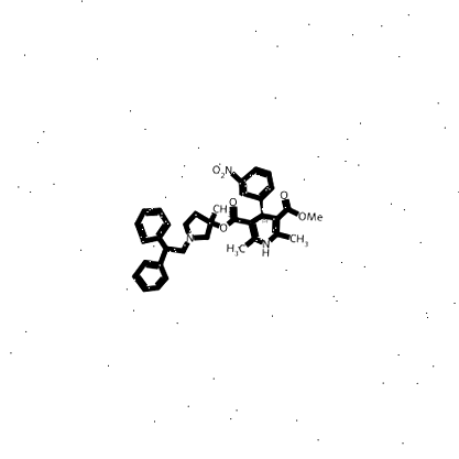 COC(=O)C1=C(C)NC(C)=C(C(=O)OC2(C)CCN(CC(c3ccccc3)c3ccccc3)C2)[C@H]1c1cccc([N+](=O)[O-])c1